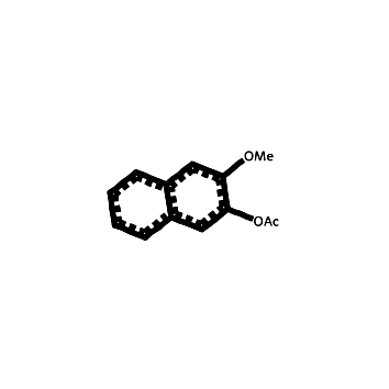 COc1cc2ccccc2cc1OC(C)=O